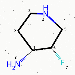 N[C@@H]1CCNC[C@@H]1F